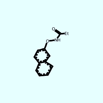 CCC(=O)NOc1ccc2ccccc2c1